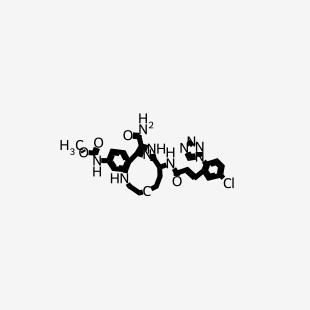 COC(=O)Nc1ccc2c(c1)NCCCCCC(NC(=O)/C=C/c1cc(Cl)ccc1-n1cnnn1)c1nc-2c(C(N)=O)[nH]1